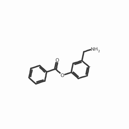 NCc1[c]ccc(OC(=O)c2ccccc2)c1